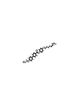 CCCC/C=C\CCCCOc1ccc(OC(=O)c2ccc(-c3ccc(OC[C@@H](C)CC)cc3)cc2)cc1